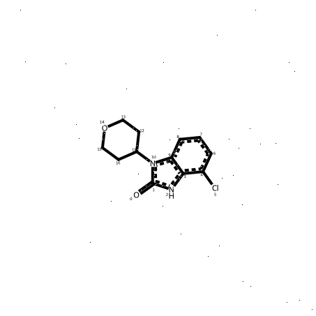 O=c1[nH]c2c(Cl)cccc2n1C1CCOCC1